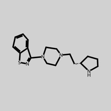 c1ccc2c(N3CCN(CC[C@@H]4CCCN4)CC3)nsc2c1